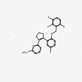 O=C(O)c1cccc(C2=C(c3cc(F)ccc3OCc3c(F)ccc(F)c3F)CCC2)n1